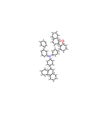 c1ccc(-c2cccc(N(c3ccc(-c4cc5ccccc5c5ccccc45)cc3)c3ccc(-c4cccc5oc6c7ccccc7ccc6c45)cc3)c2)cc1